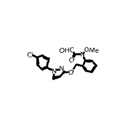 CON(C(=O)C=O)c1ccccc1COc1ccn(-c2ccc(Cl)cc2)n1